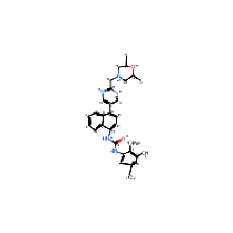 COc1c(C#N)cc(C(C)(C)C)cc1NC(=O)Nc1ccc(-c2cnc(CN3CC(C)OC(C)C3)nc2)c2ccccc12